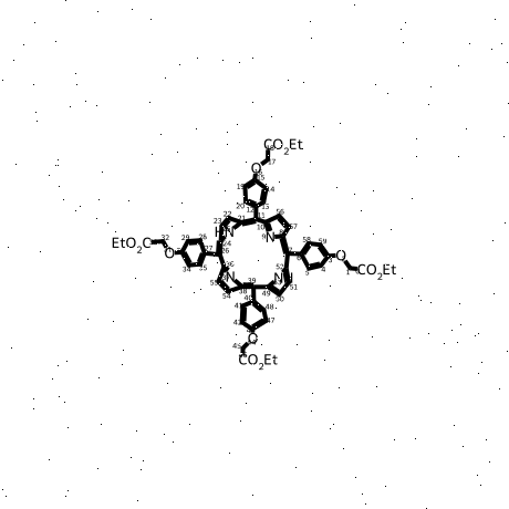 CCOC(=O)COc1ccc(-c2c3nc(c(-c4ccc(OCC(=O)OCC)cc4)c4ccc([nH]4)c(-c4ccc(OCC(=O)OCC)cc4)c4nc(c(-c5ccc(OCC(=O)OCC)cc5)c5ccc2[nH]5)C=C4)C=C3)cc1